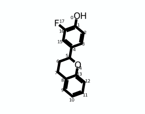 Oc1ccc(C2CCc3ccccc3O2)cc1F